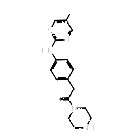 O=C(Cc1ccc(Nc2ncc(F)cn2)cc1)N1CCNCC1